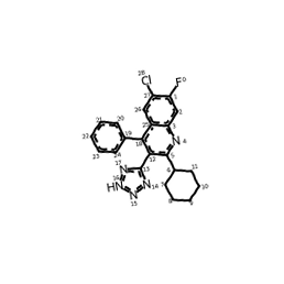 Fc1cc2nc(C3CCCCC3)c(-c3nn[nH]n3)c(-c3ccccc3)c2cc1Cl